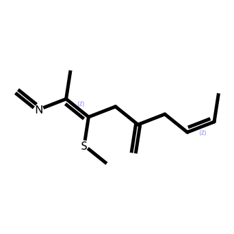 C=N/C(C)=C(/CC(=C)C/C=C\C)SC